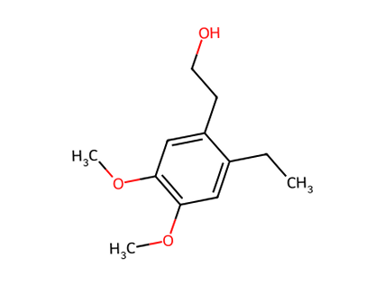 CCc1cc(OC)c(OC)cc1CCO